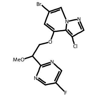 COC(COc1cc(Br)cn2ncc(Cl)c12)c1ncc(F)cn1